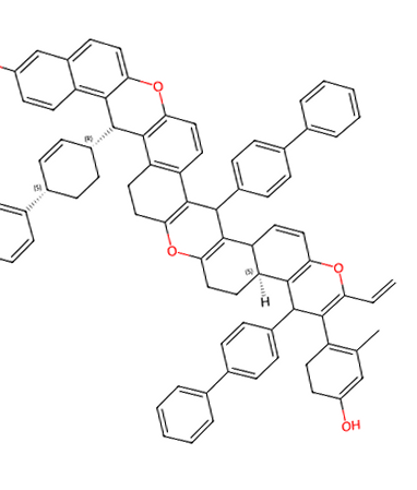 C=CC1=C(C2=C(C)C=C(O)CC2)C(c2ccc(-c3ccccc3)cc2)C2=C(C=CC3C4=C(CC[C@H]23)OC2=C(c3ccc5c(c3CC2)C([C@H]2C=C[C@@H](c3ccccc3)CC2)c2c(ccc3cc(O)ccc23)O5)C4c2ccc(-c3ccccc3)cc2)O1